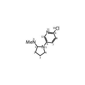 CNC1CCCN1c1ccc(Cl)nc1